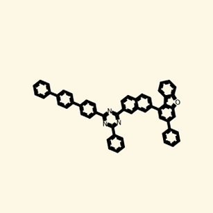 c1ccc(-c2ccc(-c3ccc(-c4nc(-c5ccccc5)nc(-c5ccc6ccc(-c7cc(-c8ccccc8)cc8oc9ccccc9c78)cc6c5)n4)cc3)cc2)cc1